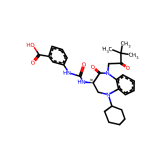 CC(C)(C)C(=O)CN1C(=O)[C@H](NC(=O)Nc2cccc(C(=O)O)c2)CN(C2CCCCC2)c2ccccc21